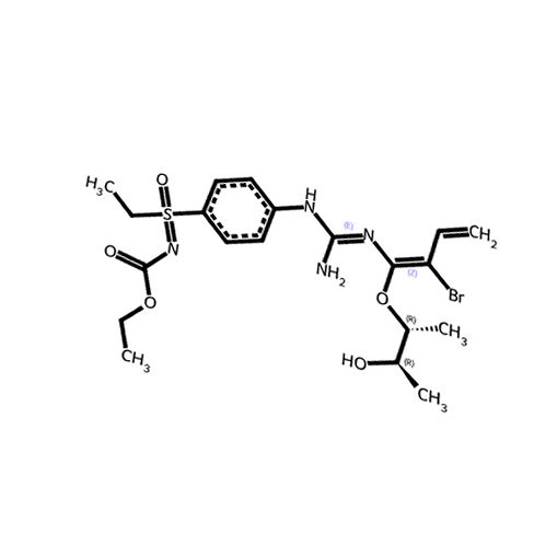 C=C/C(Br)=C(\N=C(/N)Nc1ccc(S(=O)(CC)=NC(=O)OCC)cc1)O[C@H](C)[C@@H](C)O